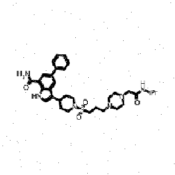 CC(C)NC(=O)CN1CCN(CCCS(=O)(=O)N2CCC(c3c[nH]c4c(C(N)=O)cc(-c5ccccc5)cc34)CC2)CC1